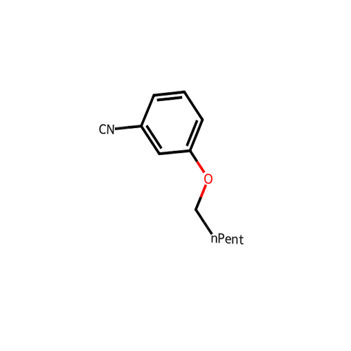 [C-]#[N+]c1cccc(OCCCCCC)c1